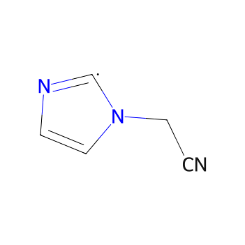 N#CCn1[c]ncc1